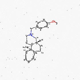 COc1ccc(CN2CC[C@@H]3c4ccccc4CC[C@H]3C2)cc1